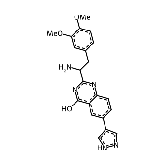 COc1ccc(CC(N)c2nc(O)c3cc(-c4cn[nH]c4)ccc3n2)cc1OC